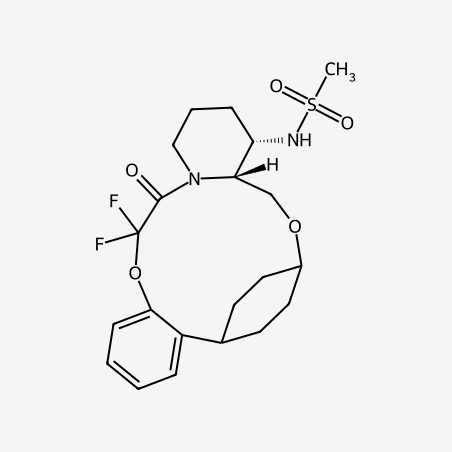 CS(=O)(=O)N[C@H]1CCCN2C(=O)C(F)(F)Oc3ccccc3C3CCC(CC3)OC[C@@H]12